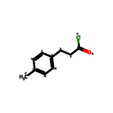 Cc1ccc(CCC(=O)Cl)cc1